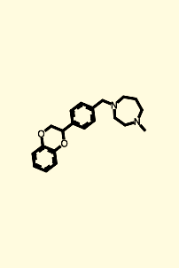 CN1CCCN(Cc2ccc(C3COc4ccccc4O3)cc2)CC1